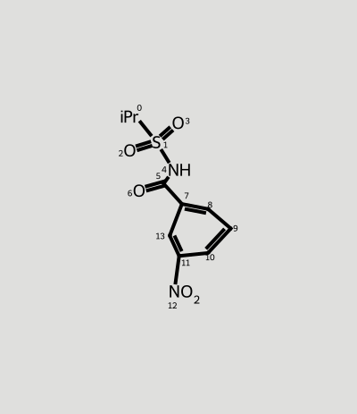 CC(C)S(=O)(=O)NC(=O)c1cccc([N+](=O)[O-])c1